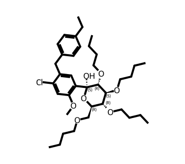 CCCCOC[C@H]1O[C@@](O)(c2cc(Cc3ccc(CC)cc3)c(Cl)cc2OC)[C@H](OCCCC)[C@@H](OCCCC)[C@@H]1OCCCC